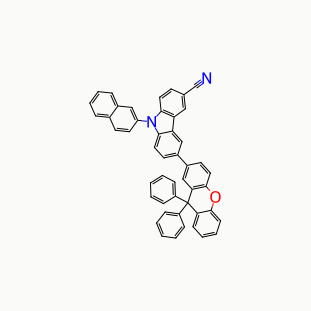 N#Cc1ccc2c(c1)c1cc(-c3ccc4c(c3)C(c3ccccc3)(c3ccccc3)c3ccccc3O4)ccc1n2-c1ccc2ccccc2c1